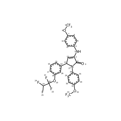 O=C1C(Nc2ccc(OC(F)(F)F)cc2)=CC(c2cccc(OC(F)(F)C(F)F)c2)N1c1ccc(OC(F)(F)F)cc1